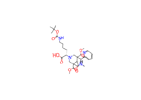 COC(=O)C12CN(C)[C@H](c3ccccn3)C(C(=O)OC)(CN([C@@H](CCCCNC(=O)OC(C)(C)C)C(=O)O)C1)[C@H]2C=O